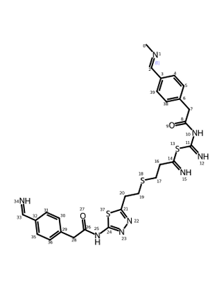 C/N=C/c1ccc(CC(=O)NC(=N)SC(=N)CCSCCc2nnc(NC(=O)Cc3ccc(C=N)cc3)s2)cc1